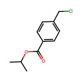 CC(C)OC(=O)c1ccc(CCl)cc1